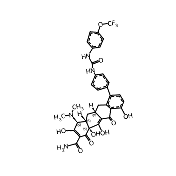 CN(C)[C@@H]1C(O)=C(C(N)=O)C(=O)[C@@]2(O)C(O)=C3C(=O)c4c(O)ccc(-c5ccc(NC(=O)Nc6ccc(OC(F)(F)F)cc6)cc5)c4C[C@H]3C[C@@H]12